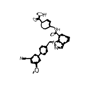 COc1cc(C#N)cc(-c2ccc(Cn3ncc4cccc(C(=O)NC5CCC(C(=O)O)CC5)c43)cc2)c1